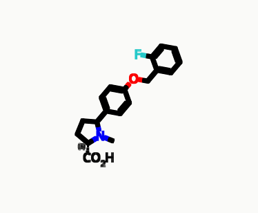 CN1C(c2ccc(OCc3ccccc3F)cc2)CC[C@H]1C(=O)O